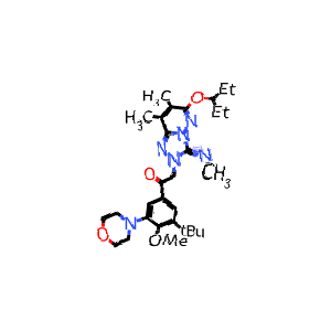 CCC(CC)Oc1nn2/c(=N/C)n(CC(=O)c3cc(N4CCOCC4)c(OC)c(C(C)(C)C)c3)nc2c(C)c1C